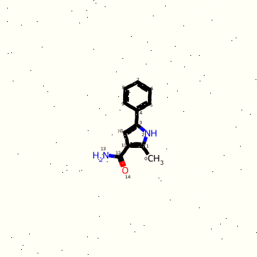 Cc1[nH]c(-c2ccccc2)cc1C(N)=O